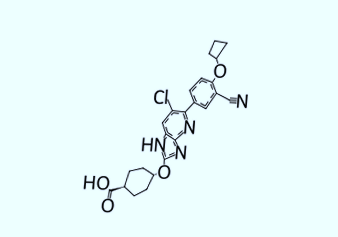 N#Cc1cc(-c2nc3nc(O[C@H]4CC[C@H](C(=O)O)CC4)[nH]c3cc2Cl)ccc1OC1CCC1